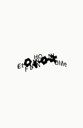 CC[C@@H]1CCC[C@H](N(C)c2cnc(-c3ccc(-c4cc(OC)c(C)nn4)cc3O)nn2)[C@@H]1F